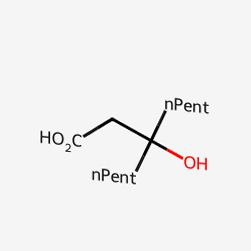 CCCCCC(O)(CCCCC)CC(=O)O